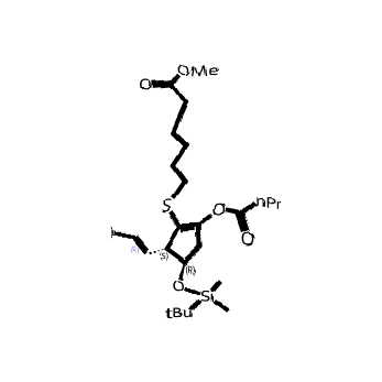 CCCC(=O)OC1=C(SCCCCCC(=O)OC)[C@@H](/C=C/I)[C@H](O[Si](C)(C)C(C)(C)C)C1